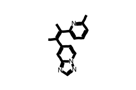 C/C(=C(\C)c1cccc(C)n1)c1ccn2ncnc2c1